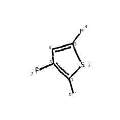 [CH2]c1sc(F)cc1F